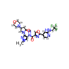 Cn1cc(NC(=O)c2coc(-c3ccnc(NCC(F)(F)F)c3)n2)c(N2C[C@@H](N3CCOCC3)CC2=O)n1